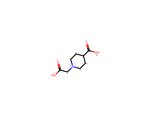 O=C(O)CN1CCC(C(=O)O)CC1